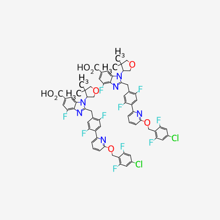 CC1(C)COCC1n1c(Cc2cc(F)c(-c3cccc(OCc4c(F)cc(Cl)cc4F)n3)cc2F)nc2c(F)cc(C(=O)O)cc21.CC1(C)COCC1n1c(Cc2cc(F)c(-c3cccc(OCc4c(F)cc(Cl)cc4F)n3)cc2F)nc2c(F)cc(C(=O)O)cc21